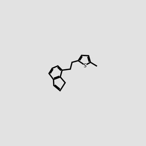 Cc1ccc(CCc2cccc3c2CC=C3)s1